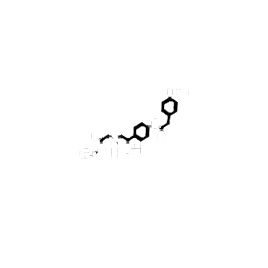 CCCCc1ccc(CC(=O)Oc2ccc(C(O)CNCC(=O)OC(C)(C)C)cc2)cc1